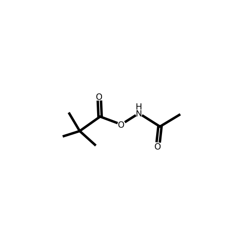 CC(=O)NOC(=O)C(C)(C)C